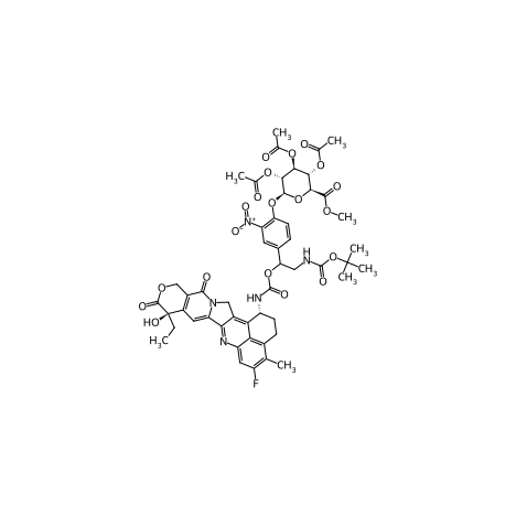 CC[C@]1(O)C(=O)OCc2c1cc1n(c2=O)Cc2c-1nc1cc(F)c(C)c3c1c2[C@H](NC(=O)OC(CNC(=O)OC(C)(C)C)c1ccc(O[C@@H]2O[C@H](C(=O)OC)[C@@H](OC(C)=O)[C@H](OC(C)=O)[C@H]2OC(C)=O)c([N+](=O)[O-])c1)CC3